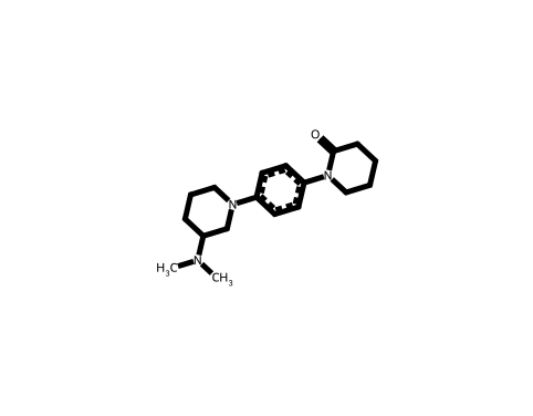 CN(C)C1CCCN(c2ccc(N3CCCCC3=O)cc2)C1